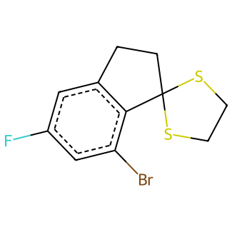 Fc1cc(Br)c2c(c1)CCC21SCCS1